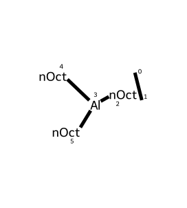 CC.CCCCCCC[CH2][Al]([CH2]CCCCCCC)[CH2]CCCCCCC